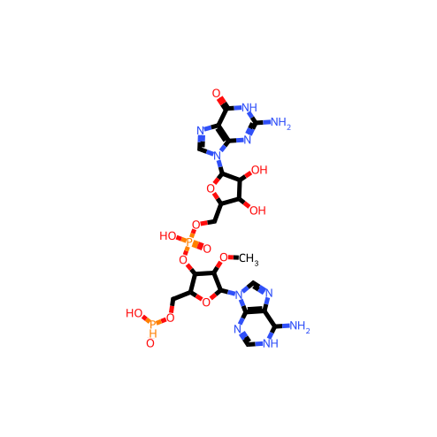 COC1C(OP(=O)(O)OCC2OC(n3cnc4c(=O)[nH]c(N)nc43)C(O)C2O)C(CO[PH](=O)O)OC1n1cnc2c1N=CNC2N